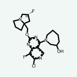 OC1CCCCN(c2nc(OCC34CCCN3C[C@H](F)C4)nc3c(F)c(Cl)ncc23)C1